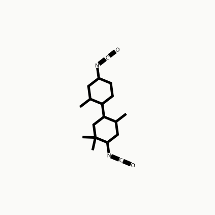 CC1CC(N=C=O)CCC1C1CC(C)(C)C(N=C=O)CC1C